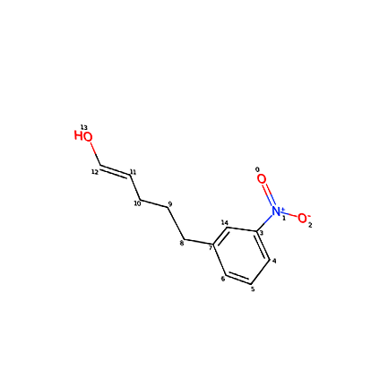 O=[N+]([O-])c1cccc(CCCC=CO)c1